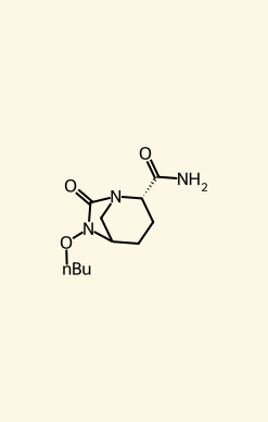 CCCCON1C(=O)N2CC1CC[C@H]2C(N)=O